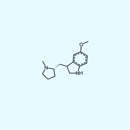 COc1ccc2c(c1)C(C[C@@H]1CCCN1C)CN2